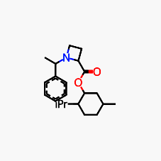 CC1CCC(C(C)C)C(OC(=O)C2CCN2C(C)c2ccccc2)C1